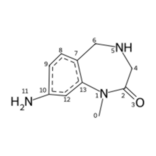 CN1C(=O)CNCc2ccc(N)cc21